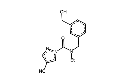 CCN(Cc1cccc(CO)c1)C(=O)n1cc(C#N)cn1